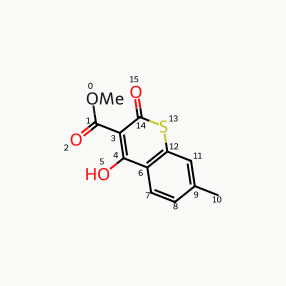 COC(=O)c1c(O)c2ccc(C)cc2sc1=O